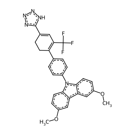 COc1ccc2c(c1)c1cc(OC)ccc1n2-c1ccc(C2=C(C(F)(F)F)C=C(c3nnn[nH]3)CC2)cc1